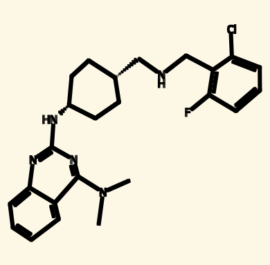 CN(C)c1nc(N[C@H]2CC[C@@H](CNCc3c(F)cccc3Cl)CC2)nc2ccccc12